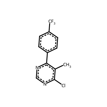 Cc1c(Cl)ncnc1-c1ccc(C(F)(F)F)cc1